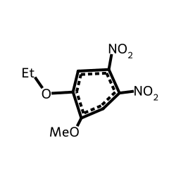 CCOc1cc([N+](=O)[O-])c([N+](=O)[O-])cc1OC